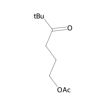 CC(=O)OCCCC(=O)C(C)(C)C